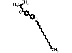 CCCCCCCCCCCCCCCCCCOc1ccc(-c2ccc(C(=O)CCC(C)CC)cc2)cc1